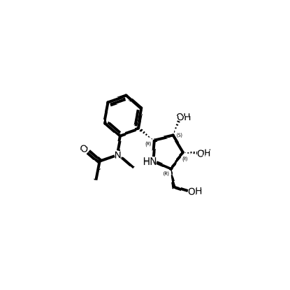 CC(=O)N(C)c1ccccc1[C@H]1N[C@H](CO)[C@@H](O)[C@H]1O